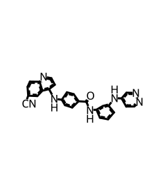 N#Cc1ccc2nccc(Nc3ccc(C(=O)Nc4cccc(Nc5ccnnc5)c4)cc3)c2c1